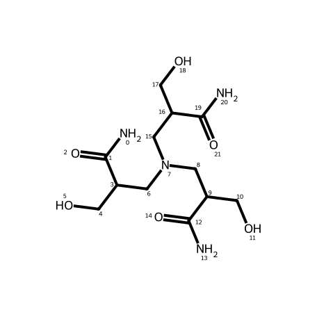 NC(=O)C(CO)CN(CC(CO)C(N)=O)CC(CO)C(N)=O